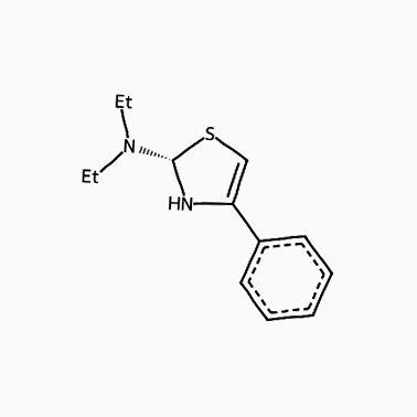 CCN(CC)[C@H]1NC(c2ccccc2)=CS1